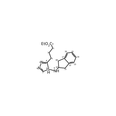 CCOC(=O)CCCC1=NN=C[SH]1NC1Cc2ccccc2C1